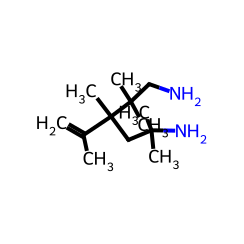 C=C(C)C(C)(CC(C)(C)N)C(C)(C)CN